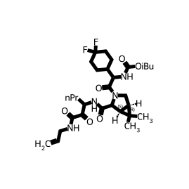 C=CCNC(=O)C(=O)C(CCC)NC(=O)C1[C@H]2[C@@H](CN1C(=O)C(NC(=O)OCC(C)C)C1CCC(F)(F)CC1)C2(C)C